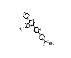 Cc1cn2c(-c3ccc(N4CCN(C(=O)OC(C)(C)C)CC4)nc3)cnc(N3CCOCC3)c2n1